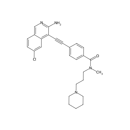 CN(CCCN1CCCCC1)C(=O)c1ccc(C#Cc2c(N)ncc3ccc(Cl)cc23)cc1